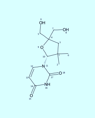 CC1(C)CC(CO)(CO)O[C@H]1n1ccc(=O)[nH]c1=O